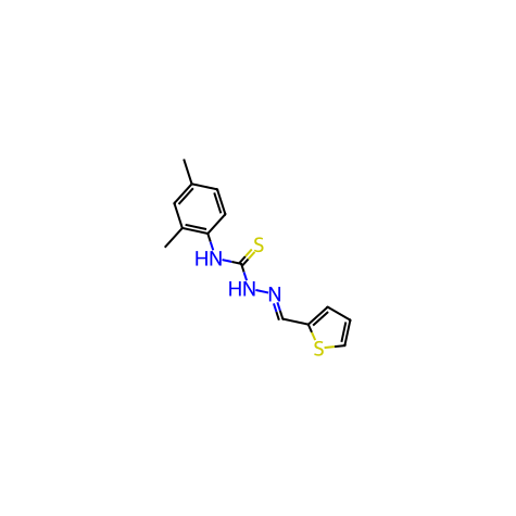 Cc1ccc(NC(=S)N/N=C/c2cccs2)c(C)c1